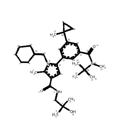 Cc1c(C(=O)NCC(C)(C)O)cc(-c2cc(C(=O)N(C)C(C)(C)C)cc(C3(C)CC3)c2)n1CC1CCCCC1